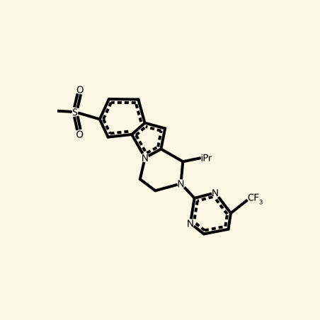 CC(C)C1c2cc3ccc(S(C)(=O)=O)cc3n2CCN1c1nccc(C(F)(F)F)n1